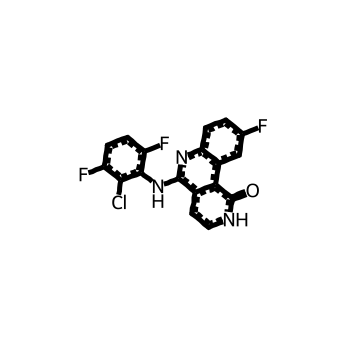 O=c1[nH]ccc2c(Nc3c(F)ccc(F)c3Cl)nc3ccc(F)cc3c12